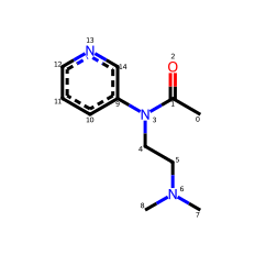 CC(=O)N(CCN(C)C)c1cccnc1